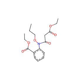 CCCON(C(=O)CC(=O)OCC)c1ccccc1C(=O)OCC